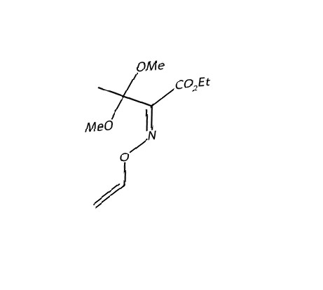 C=CON=C(C(=O)OCC)C(C)(OC)OC